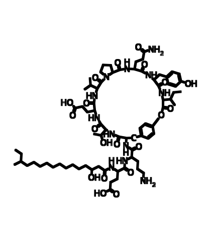 CCC(C)CCCCCCCCCCC(O)CC(=O)NC(CCC(=O)O)C(=O)NC(CCCN)C(=O)NC1Cc2ccc(cc2)OC(=O)C(C(C)CC)NC(=O)C(Cc2ccc(O)cc2)NC(=O)C(CCC(N)=O)NC(=O)C2CCCN2C(=O)C(C(C)C)NC(=O)C(CCC(=O)O)NC(=O)C(C(C)O)NC1=O